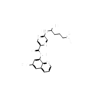 CCN(CC)CCCC(C)Nc1cnc(C(=O)Nc2cc(C(F)(F)F)cc3cccnc23)cn1